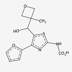 CC1(C(O)c2sc(NC(=O)O)nc2-c2ccco2)COC1